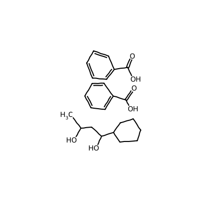 CC(O)CC(O)C1CCCCC1.O=C(O)c1ccccc1.O=C(O)c1ccccc1